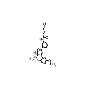 COc1ccc2c(c1)/C(=C/C(=O)c1cccc(NC(=O)CCCCCl)c1)NC(C)(C)C2